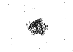 CCCCC(C)(C)C(C)(C#[C][Al-]([C]#CC(C)(OC1CCCCO1)C(C)(C)CCCC)([C]#CC(C)(OC1CCCCO1)C(C)(C)CCCC)[C]#CC(C)(OC1CCCCO1)C(C)(C)CCCC)OC1CCCCO1.[Li+]